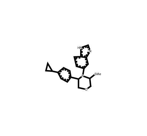 CSC1[CH]OCC(c2ccc(C3CC3)cc2)N1c1ccc2[nH]cnc2c1